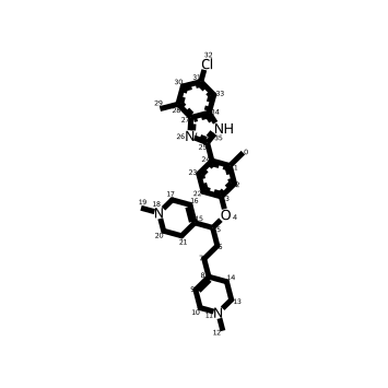 Cc1cc(OC(CCC2=CCN(C)CC2)C2=CCN(C)CC2)ccc1-c1nc2c(C)cc(Cl)cc2[nH]1